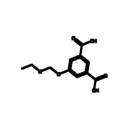 CCOCOc1cc(C(=O)O)cc(C(=O)O)c1